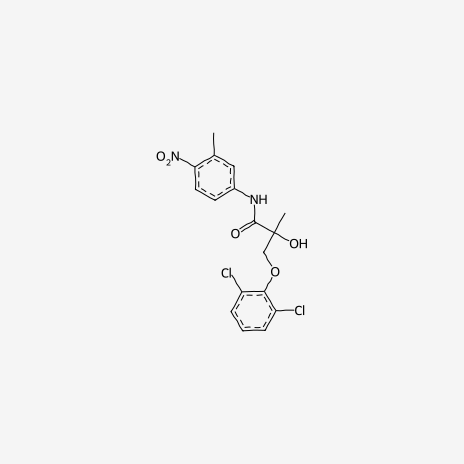 Cc1cc(NC(=O)C(C)(O)COc2c(Cl)cccc2Cl)ccc1[N+](=O)[O-]